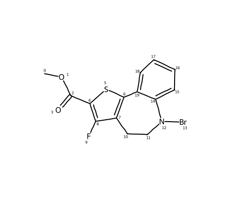 COC(=O)c1sc2c(c1F)CCN(Br)c1ccccc1-2